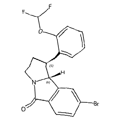 O=C1c2ccc(Br)cc2[C@H]2[C@H](c3ccccc3OC(F)F)CCN12